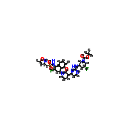 Cc1cc(CS(=O)(=O)Nc2c(F)ccc3c(Oc4ncccc4-c4ccnc(N[C@@H]5C[C@@H](F)CN(C(=O)OC(C)(C)C)C5)n4)c(C)ccc23)no1